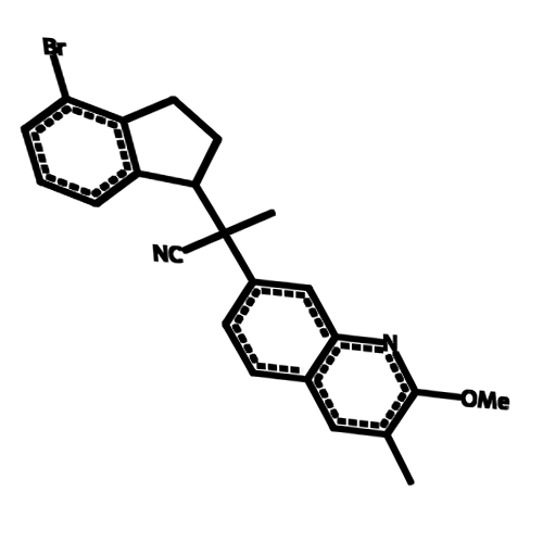 COc1nc2cc(C(C)(C#N)C3CCc4c(Br)cccc43)ccc2cc1C